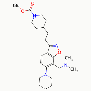 CN(C)Cc1c(N2CCCCC2)ccc2c(CCC3CCN(C(=O)OC(C)(C)C)CC3)noc12